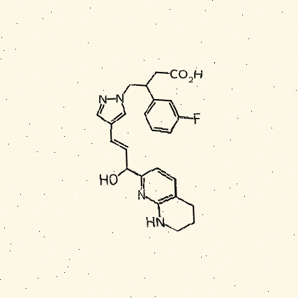 O=C(O)CC(Cn1cc(/C=C/C(O)c2ccc3c(n2)NCCC3)cn1)c1cccc(F)c1